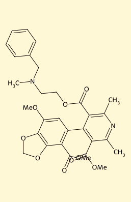 COC(=O)c1c(-c2c(C(=O)OC)c(C)nc(C)c2C(=O)OCCN(C)Cc2ccccc2)cc(OC)c2c1OCO2